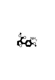 COC(=O)c1ccoc1-c1ccc(OC)c(N)c1